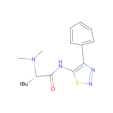 CN(C)[C@H](C(=O)Nc1snnc1-c1ccccc1)C(C)(C)C